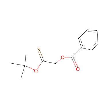 CC(C)(C)OC(=S)COC(=O)c1ccccc1